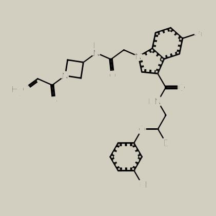 C=CC(=O)N1CC(NC(=O)Cn2cc(C(=O)NCC(CC)Oc3cccc(Cl)c3)c3cc(Br)ccc32)C1